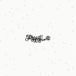 Cc1oc(C(=O)C(=O)NCC#Cc2ccccc2)cc1C(=O)Nc1ccc(F)c(Cl)c1